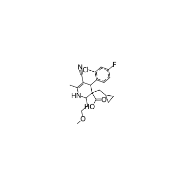 COCCC1NC(C)=C(C#N)C(c2ccc(F)cc2Cl)C1(CC1CC1)C(=O)O